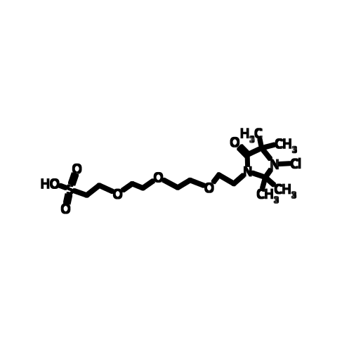 CC1(C)C(=O)N(CCOCCOCCOCCS(=O)(=O)O)C(C)(C)N1Cl